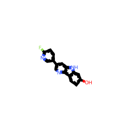 Oc1ccc2c(c1)[nH]c1cc(-c3ccc(F)nc3)cnc12